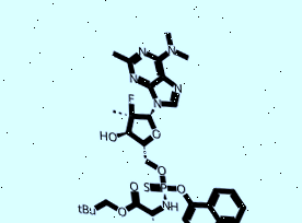 Cc1nc(N(C)C)c2ncn([C@@H]3O[C@H](CO[P@@](=S)(N[C@H](C)C(=O)OCC(C)(C)C)Oc4cccc5ccccc45)[C@@H](O)[C@@]3(C)F)c2n1